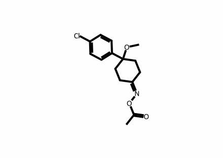 COC1(c2ccc(Cl)cc2)CCC(=NOC(C)=O)CC1